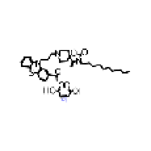 C=C1N(CCCCCCCCCC)C(=O)OC12CCN(CCCN1c3ccccc3Sc3ccc(C(C)=O)cc31)CC2.O=C(O)/C=C\C(=O)O